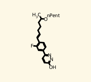 CCCCCOC(C)CCCC=Cc1ccc(-c2ccc(O)nn2)cc1F